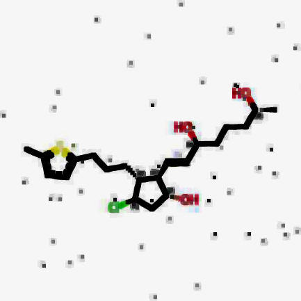 Cc1ccc(CCC[C@@H]2[C@@H](/C=C/[C@@H](O)CCC[C@@H](C)O)[C@H](O)C[C@H]2Cl)s1